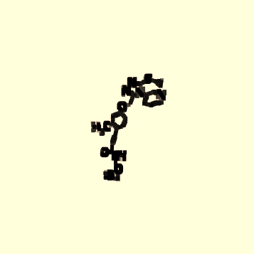 Cc1cc(OCc2nnc(SC3CC3)n2-c2cccnc2)ccc1C#CC(=O)NCOC(C)(C)C